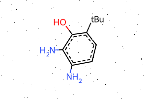 CC(C)(C)c1ccc(N)c(N)c1O